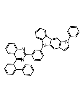 c1ccc(-c2ccccc2-c2nc(-c3cccc(-n4c5ccccc5c5cc6c(ccn6-c6ccccc6)cc54)c3)nc3ccccc23)cc1